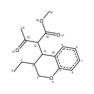 CCC1COc2ccccc2C1C(C(C)=O)C(=O)OC